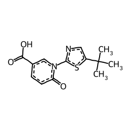 CC(C)(C)c1cnc(-n2cc(C(=O)O)ccc2=O)s1